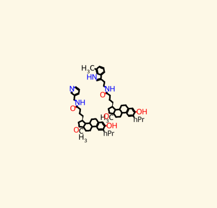 CCCc1cc2c(cc1O)CCC1C2CC[C@]2(C)C(=O)C[C@@H](CCCC(=O)NCCc3c[nH]c4c(C)cccc34)C12.CCCc1cc2c(cc1O)CCC1C2CC[C@]2(C)C(=O)C[C@@H](CCCC(=O)NCc3cccnc3)C12